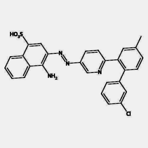 Cc1ccc(-c2cccc(Cl)c2)c(-c2ccc(N=Nc3cc(S(=O)(=O)O)c4ccccc4c3N)cn2)c1